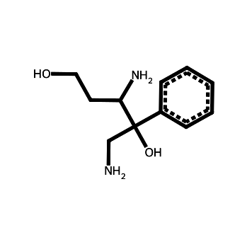 NCC(O)(c1ccccc1)C(N)CCO